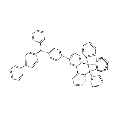 c1ccc(-c2ccc(N(c3ccccc3)c3ccc(-c4ccc5c(c4)-c4ccccc4C(c4ccccc4)(c4ccccc4)C5(c4ccccc4)c4ccccc4)cc3)cc2)cc1